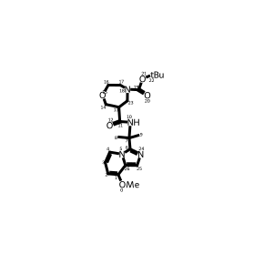 COc1cccn2c(C(C)(C)NC(=O)C3COCCN(C(=O)OC(C)(C)C)C3)ncc12